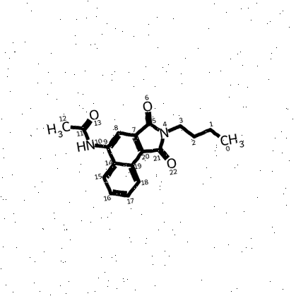 CCCCN1C(=O)c2cc(NC(C)=O)c3ccccc3c2C1=O